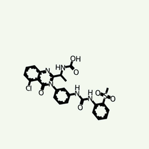 CC(NC(=O)O)c1nc2cccc(Cl)c2c(=O)n1-c1cccc(NC(=O)Nc2ccccc2S(C)(=O)=O)c1